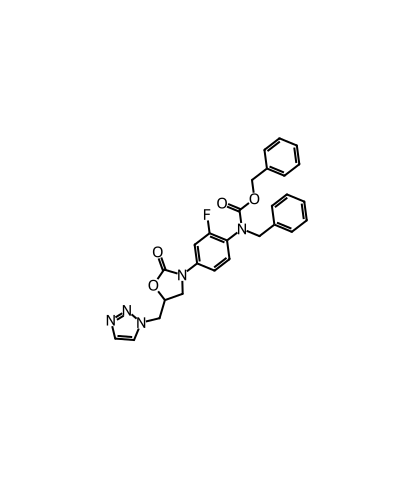 O=C1OC(Cn2ccnn2)CN1c1ccc(N(Cc2ccccc2)C(=O)OCc2ccccc2)c(F)c1